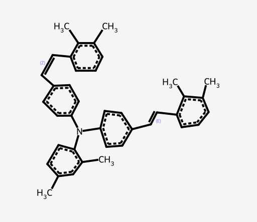 Cc1ccc(N(c2ccc(/C=C\c3cccc(C)c3C)cc2)c2ccc(/C=C/c3cccc(C)c3C)cc2)c(C)c1